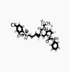 CC(C)NC(=O)N(CCCCNS(=O)(=O)c1ccc(Cl)cc1Cl)CC1CCCN1C(=O)Nc1ccccc1